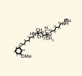 COc1cccc(OCCCCCNC(C)(C)CCC(C)(C)OCCCCCNC(C)(C)C)c1